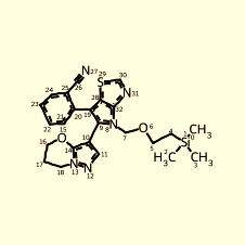 C[Si](C)(C)CCOCn1c(-c2cnn3c2OCCC3)c(-c2ccccc2C#N)c2scnc21